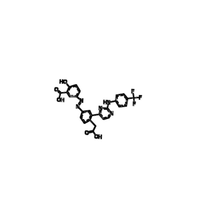 O=C(O)Cc1ccc(N=Nc2ccc(O)c(C(=O)O)c2)cc1-c1ccnc(Nc2ccc(C(F)(F)F)cc2)n1